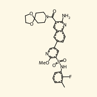 COc1ncc(-c2ccc3nc(N)c(C(=O)N4CCC5(CC4)OCCO5)cc3c2)cc1S(=O)(=O)Nc1cccc(C)c1F